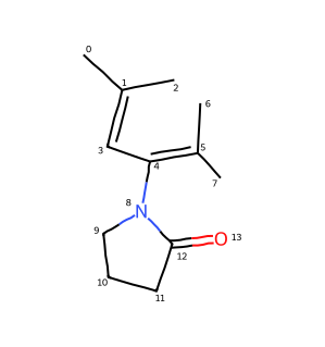 CC(C)=CC(=C(C)C)N1CCCC1=O